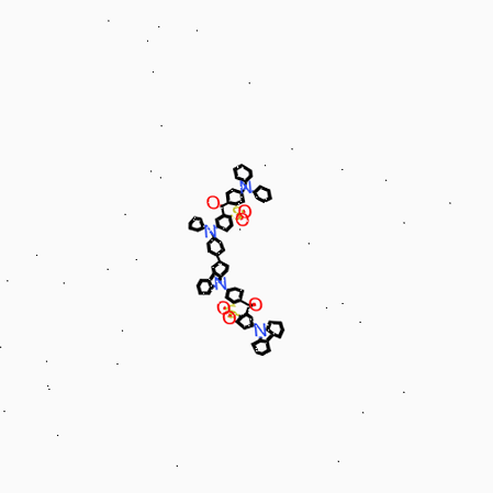 O=C1c2cc(N(c3ccccc3)c3ccc(-c4ccc5c(c4)c4ccccc4n5-c4ccc5c(c4)S(=O)(=O)c4ccc(-n6c7ccccc7c7ccccc76)cc4C5=O)cc3)ccc2S(=O)(=O)c2cc(N(c3ccccc3)c3ccccc3)ccc21